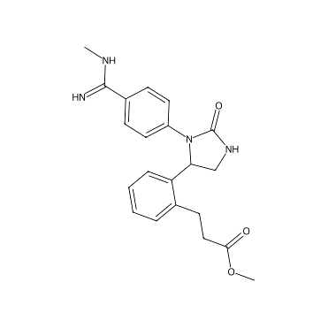 CNC(=N)c1ccc(N2C(=O)NCC2c2ccccc2CCC(=O)OC)cc1